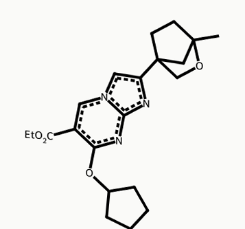 CCOC(=O)c1cn2cc(C34CCC(C)(C3)OC4)nc2nc1OC1CCCC1